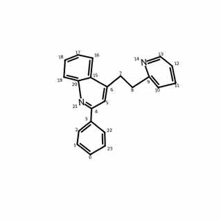 c1ccc(-c2cc(CCc3ccccn3)c3ccccc3n2)cc1